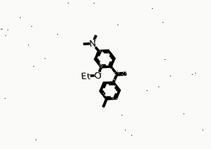 C=C(c1ccc(C)cc1)c1ccc(N(C)C)cc1OCC